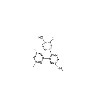 Cc1cc(-c2nc(N)cnc2-c2cc(Cl)c(O)cn2)nc(C)n1